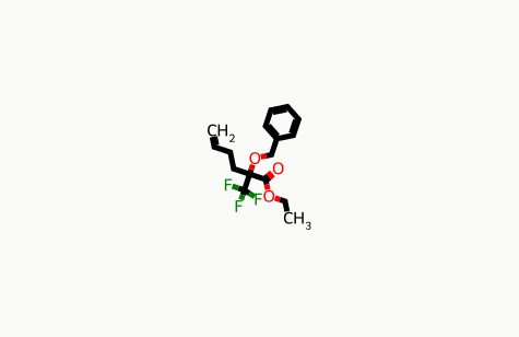 C=CCCC(OCc1ccccc1)(C(=O)OCC)C(F)(F)F